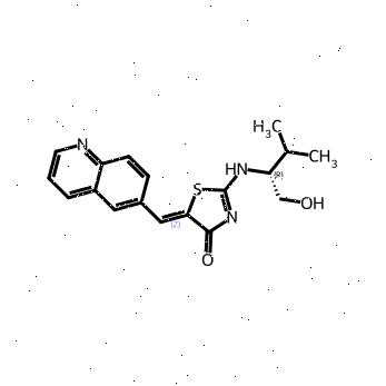 CC(C)[C@H](CO)NC1=NC(=O)/C(=C/c2ccc3ncccc3c2)S1